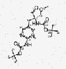 COC[C@@](C=O)(Cc1cnc(NC(=O)OC(C)(C)C)nc1)NC(=O)OC(C)(C)C